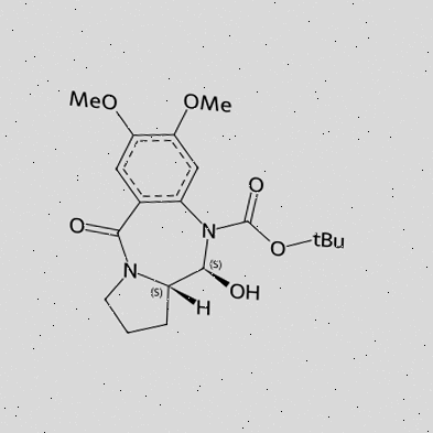 COc1cc2c(cc1OC)N(C(=O)OC(C)(C)C)[C@@H](O)[C@@H]1CCCN1C2=O